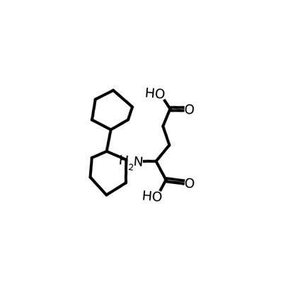 C1CCC(C2CCCCC2)CC1.NC(CCC(=O)O)C(=O)O